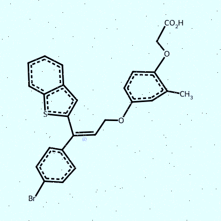 Cc1cc(OC/C=C(/c2ccc(Br)cc2)c2cc3ccccc3s2)ccc1OCC(=O)O